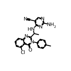 Cc1ccc(-n2c(C(C)Nc3nc(N)ncc3C#N)nc3cccc(Cl)c3c2=O)cc1